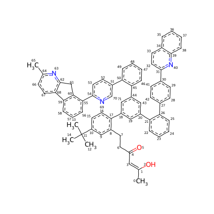 C/C(O)=C/C(=O)CCc1cc(C(C)(C)C)ccc1-c1cc(-c2ccccc2-c2ccc(-c3ccc4ccccc4n3)cc2)cc(-c2ccccc2-c2ccc(-c3cccc4c3Cc3nc(C)ccc3-4)nc2)c1